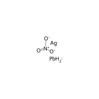 O=[N+]([O-])[O-].[Ag].[PbH2]